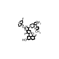 C=CC1(C(=O)n2ccc(C)n2)CCN(c2nc(OC[C@@]34CCCN3C[C@H](F)C4)nc3c(F)c(-c4cc(O)cc5ccc(F)c(CC)c45)ncc23)CC1